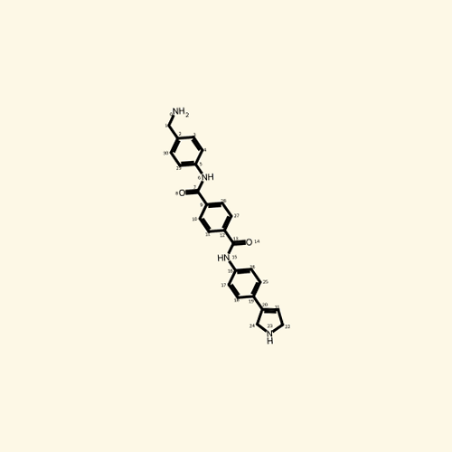 NCc1ccc(NC(=O)c2ccc(C(=O)Nc3ccc(C4=CCNC4)cc3)cc2)cc1